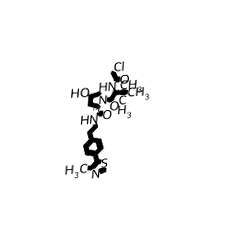 Cc1ncsc1-c1ccc(CCNC(=O)[C@@H]2C[C@H](O)CN2C(=O)[C@@H](NC(=O)CCl)C(C)(C)C)cc1